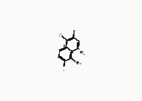 Cc1ccc2c(N)c(F)ccc2c1O.Cl